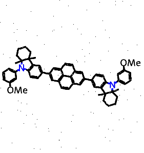 COc1cccc(N2c3ccc(-c4cc5ccc6cc(-c7ccc8c(c7)C7(C)CCCCC7(C)N8c7cccc(OC)c7)cc7ccc(c4)c5c67)cc3C3(C)CCCCC23C)c1